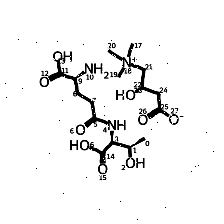 C[C@@H](O)[C@H](NC(=O)CC[C@H](N)C(=O)O)C(=O)O.C[N+](C)(C)CC(O)CC(=O)[O-]